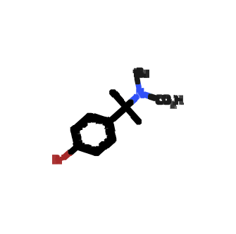 CC(C)(C)N(C(=O)O)C(C)(C)c1ccc(Br)cc1